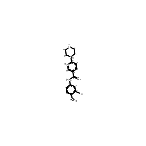 Cc1ccc(NC(=O)c2ccc(N3CCOCC3)nc2)cc1I